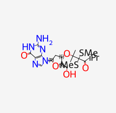 CSC(SC)(C(=O)C(C)C)C(C)(C)O[C@H]1C[C@H](n2cnc3c(=O)[nH]c(N)nc32)O[C@@H]1CO